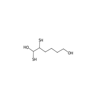 OCCCCC(S)C(O)S